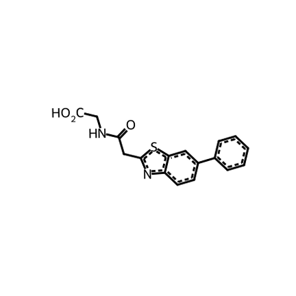 O=C(O)CNC(=O)Cc1nc2ccc(-c3ccccc3)cc2s1